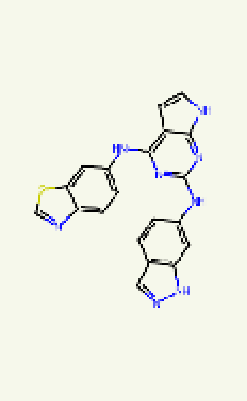 c1cc2c(Nc3ccc4ncsc4c3)nc(Nc3ccc4cn[nH]c4c3)nc2[nH]1